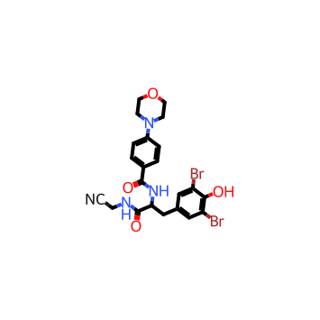 N#CCNC(=O)C(Cc1cc(Br)c(O)c(Br)c1)NC(=O)c1ccc(N2CCOCC2)cc1